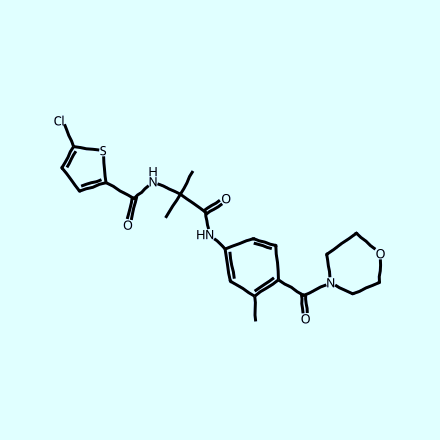 Cc1cc(NC(=O)C(C)(C)NC(=O)c2ccc(Cl)s2)ccc1C(=O)N1CCOCC1